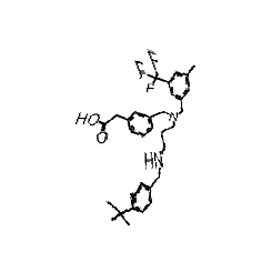 Cc1cc(CN(CCCNCc2ccc(C(C)(C)C)cc2)Cc2cccc(CC(=O)O)c2)cc(C(F)(F)F)c1